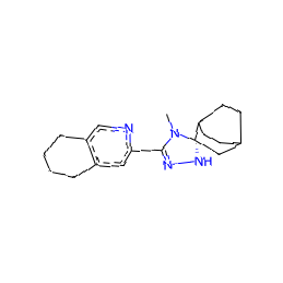 CN1C(c2cc3c(cn2)CCCC3)=NN[C@]12CC1CCC2CC1